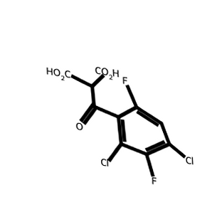 O=C(O)C(C(=O)O)C(=O)c1c(F)cc(Cl)c(F)c1Cl